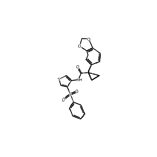 O=C(Nc1cscc1S(=O)(=O)c1ccccc1)C1(c2ccc3c(c2)OCO3)CC1